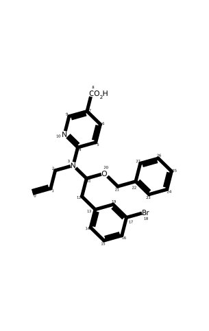 C=CCN(c1ccc(C(=O)O)cn1)C(Cc1cccc(Br)c1)OCc1ccccc1